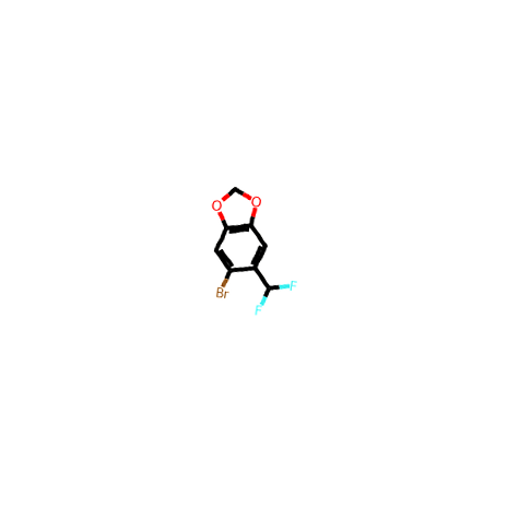 F[C](F)c1cc2c(cc1Br)OCO2